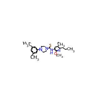 CCCc1nc(OC)c(NC(=S)N2CCN(c3cc(C)cc(C)c3)CC2)cc1C